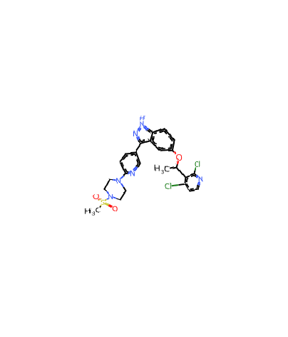 CC(Oc1ccc2[nH]nc(-c3ccc(N4CCN(S(C)(=O)=O)CC4)nc3)c2c1)c1c(Cl)ccnc1Cl